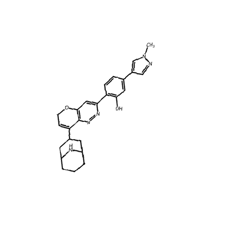 Cn1cc(-c2ccc(-c3cc4c(nn3)C(C3CC5CCCC(C3)N5)=CCO4)c(O)c2)cn1